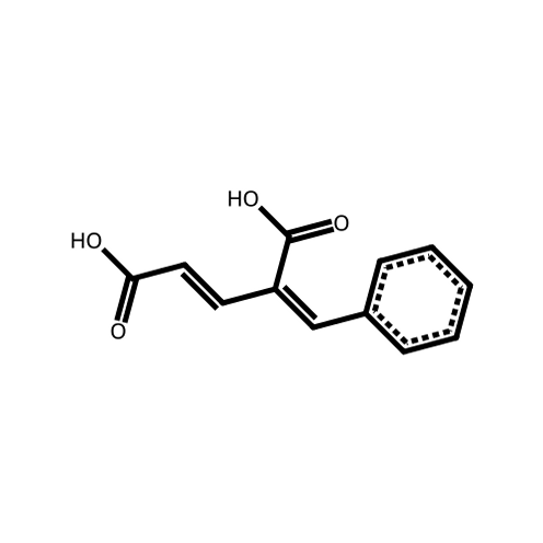 O=C(O)C=CC(=Cc1ccccc1)C(=O)O